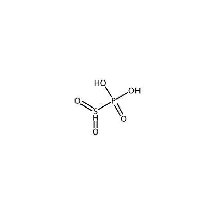 O=[SH](=O)P(=O)(O)O